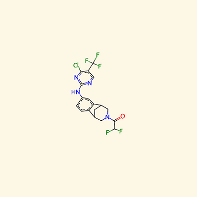 O=C(C(F)F)N1CC2CC(C1)c1cc(Nc3ncc(C(F)(F)F)c(Cl)n3)ccc12